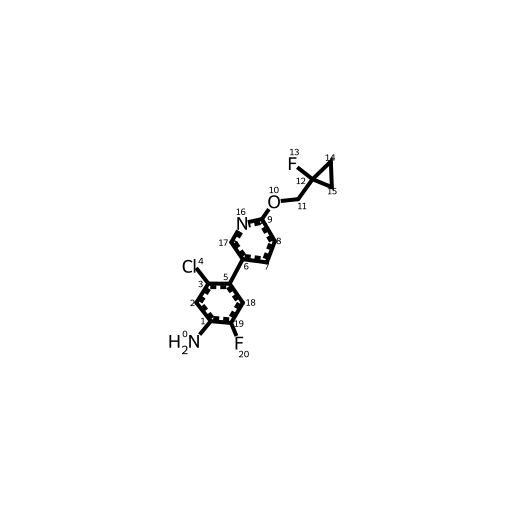 Nc1cc(Cl)c(-c2ccc(OCC3(F)CC3)nc2)cc1F